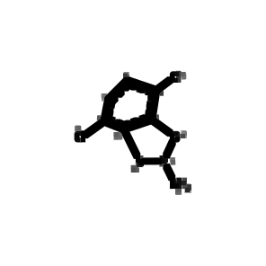 NP1Oc2c(Cl)ccc(Cl)c2S1